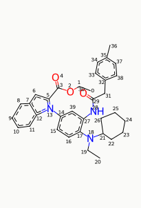 CCOC(=O)c1cc2ccccc2n1-c1ccc(N(CC)C2CCCCC2)c(NC(=O)Cc2ccc(C)cc2)c1